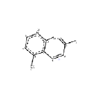 C=C(C)/C=C\c1c(CC)ccnc1C